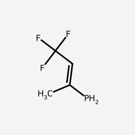 C/C(P)=C\C(F)(F)F